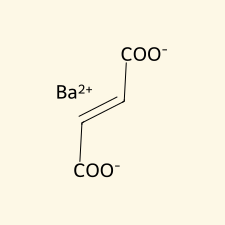 O=C([O-])C=CC(=O)[O-].[Ba+2]